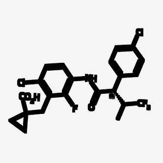 CC([C@H](C(=O)Nc1ccc(Cl)c(CC2(C(=O)O)CC2)c1F)c1ccc(Cl)cc1)C(F)(F)F